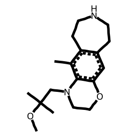 COC(C)(C)CN1CCOc2cc3c(c(C)c21)CCNCC3